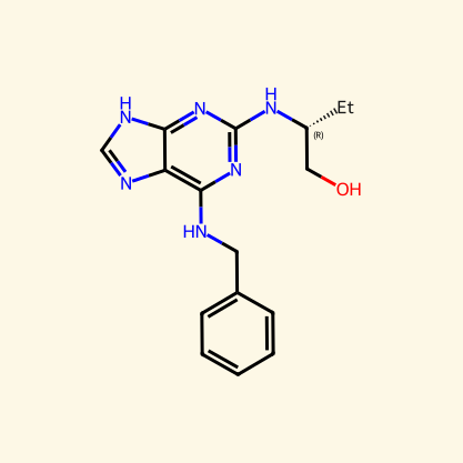 CC[C@H](CO)Nc1nc(NCc2ccccc2)c2nc[nH]c2n1